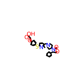 Cc1nc(Sc2ccc(OCC(=O)O)cc2)ccc1CN1CCC(N2C(=O)OCC2c2ccccc2)CC1